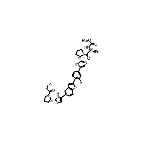 COC(=O)N[C@H](C(=O)N1CCC[C@H]1c1ncc(-c2ccc(-c3cc4cc(-c5cnc([C@@H]6CCCN6C(=O)CC(C)C)[nH]5)ccc4o3)c(F)c2)[nH]1)C(C)C